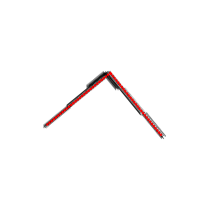 Cl.Cl.Cl.Cl.Cl.Cl.Cl.Cl.Cl.Cl.Cl.Cl.Cl.Cl.Cl.Cl.Cl.Cl.Cl.Cl.Cl.Cl.Cl.Cl.Cl.Cl.Cl.Cl.Cl.Cl.[Cl-].[Cl-].[Cl-].[Cl-].[Cl-].[Cl-].[Cl-].[Cl-].[Cl-].[Cl-].[Cl-].[Cl-].[Cl-].[Cl-].[Cl-].[Cl-].[Cl-].[Cl-].[Cl-].[Cl-].[Cl-].[Cl-].[Cl-].[Cl-].[Cl-].[Cl-].[Cl-].[Cl-].[Cl-].[Cl-].[Cl-].[Cl-].[Cl-].[Cl-].[Cl-].[Cl-].[Cl-].[Cl-].[Cl-].[Cl-].[Cl-].[Cl-].[Cl-].[Cl-].[Cl-].[K+].[K+].[K+].[K+].[K+].[K+].[K+].[K+].[K+].[K+].[K+].[K+].[K+].[K+].[K+].[K+].[K+].[K+].[K+].[K+].[K+].[K+].[K+].[K+].[K+].[K+].[K+].[K+].[K+].[K+].[K+].[K+].[K+].[K+].[K+].[K+].[K+].[K+].[K+].[K+].[K+].[K+].[K+].[K+].[K+]